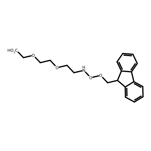 O=C(O)COCCOCCNOOCC1c2ccccc2-c2ccccc21